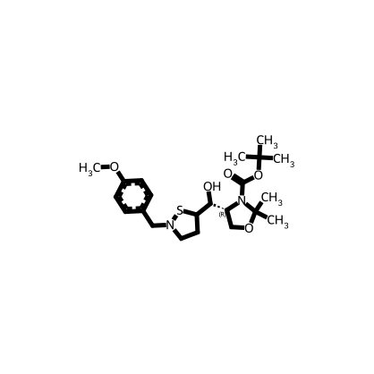 COc1ccc(CN2CCC(C(O)[C@H]3COC(C)(C)N3C(=O)OC(C)(C)C)S2)cc1